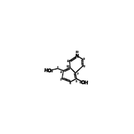 OCc1ccc(O)c2ccncc12